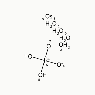 O.O.O.O.[O-][I+3]([O-])([O-])O.[Os]